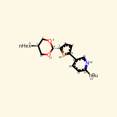 CCCCCC[C@H]1CO[C@H](c2ccc(-c3ccc(CCCC)nc3)s2)OC1